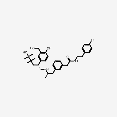 CCc1ccc(CCNC(=O)Cc2cccc(C[C@@H](C)NC[C@H](CC(C)(C)[Si](C)(C)O)c3ccc(O)c(CO)c3)c2)cc1